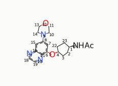 CC(=O)N[C@H]1CC[C@@H](Oc2cc(N3CCOCC3)cc3nccnc23)CC1